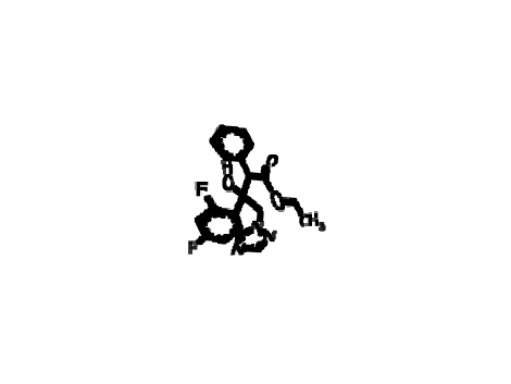 CCOC(=O)C(c1ccccc1)C(O)(Cn1cncn1)c1ccc(F)cc1F